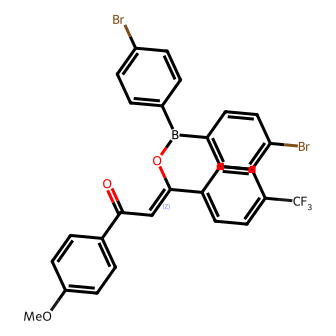 COc1ccc(C(=O)/C=C(\OB(c2ccc(Br)cc2)c2ccc(Br)cc2)c2ccc(C(F)(F)F)cc2)cc1